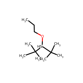 CCCO[SiH](C(C)(C)C)C(C)(C)C